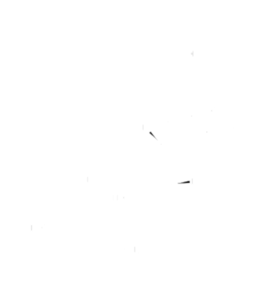 CC(C)[C@@H](C)C=C[C@@H](C)[C@H]1CC[C@H]2C3=CC(=O)C4(O)CC(O)CC[C@]4(C)[C@H]3CC[C@]12C